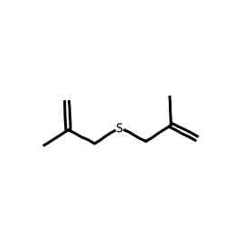 C=C(C)CSCC(=C)C